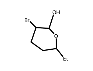 CCC1CCC(Br)C(O)O1